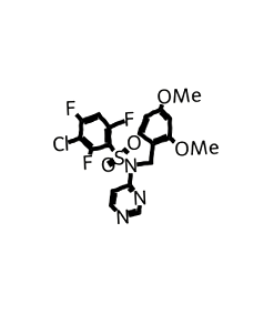 COc1ccc(CN(c2ccncn2)S(=O)(=O)c2c(F)cc(F)c(Cl)c2F)c(OC)c1